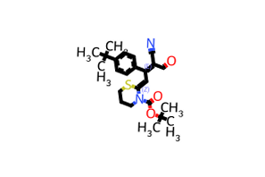 CC(C)(C)OC(=O)N1CCCS/C1=C\C(=C(\C#N)C=O)c1ccc(C(C)(C)C)cc1